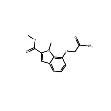 COC(=O)c1cc2cccc(OCC(N)=O)c2n1C